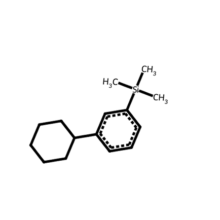 C[Si](C)(C)c1cccc(C2CCCCC2)c1